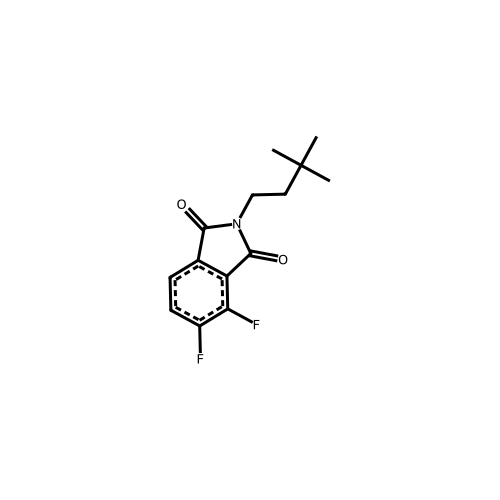 CC(C)(C)CCN1C(=O)c2ccc(F)c(F)c2C1=O